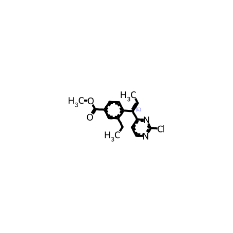 C/C=C(/c1ccnc(Cl)n1)c1ccc(C(=O)OC)cc1CC